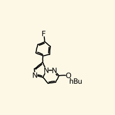 [CH2]CCCOc1ccc2ncc(-c3ccc(F)cc3)n2n1